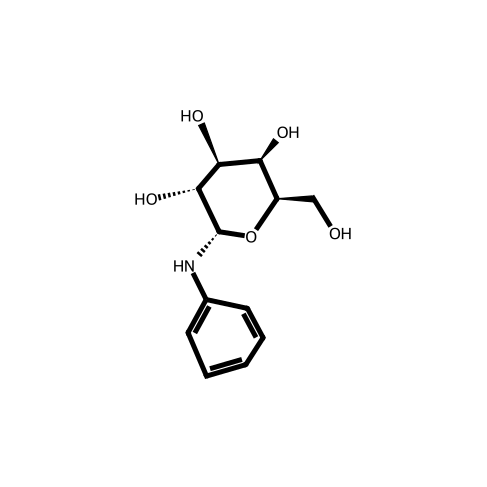 OC[C@H]1O[C@H](Nc2ccccc2)[C@H](O)[C@@H](O)[C@H]1O